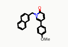 COc1ccc(-c2ccc(=O)n(Cc3ccc4ccccc4c3)c2)cc1